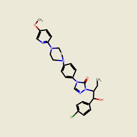 CCC(C(O)c1ccc(Cl)cc1)n1ncn(-c2ccc(N3CCN(c4ccc(OC)cn4)CC3)cc2)c1=O